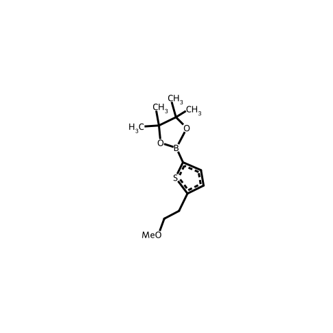 COCCc1ccc(B2OC(C)(C)C(C)(C)O2)s1